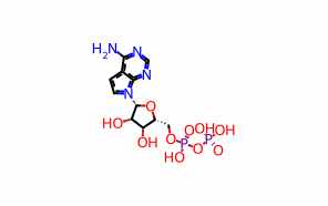 Nc1ncnc2c1ccn2[C@@H]1O[C@H](COP(=O)(O)OP(=O)(O)O)[C@@H](O)[C@H]1O